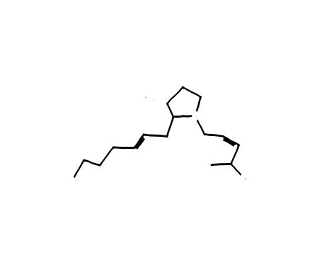 CCCCCC(O)/C=C\CN1CC[C@@H](Cl)C1CC=CCCCC(=O)O